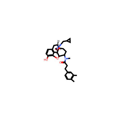 Cc1ccc(CCC(=O)N(C)C2CC[C@@]3(O)[C@H]4Cc5ccc(O)c6c5[C@@]3(CCN4CC3CC3)C2O6)cc1C